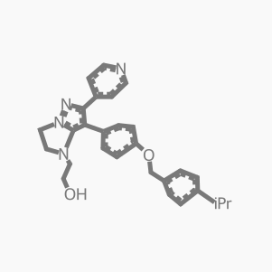 CC(C)c1ccc(COc2ccc(-c3c(-c4ccncc4)nn4c3N(CCO)CC4)cc2)cc1